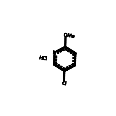 COc1ccc(Cl)cn1.Cl